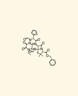 CCN1CCN(N(C=O)C(C(=O)N[C@H]2C(=O)N3[C@@H](C(=O)OCc4ccccc4)C(C)(C)SC23NC=O)c2cccs2)C(=O)C1=O